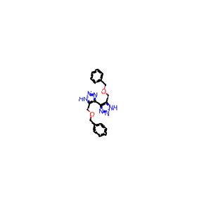 c1ccc(COCc2[nH]nnc2-c2nn[nH]c2COCc2ccccc2)cc1